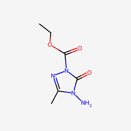 CCOC(=O)n1nc(C)n(N)c1=O